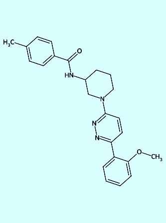 COc1ccccc1-c1ccc(N2CCCC(NC(=O)c3ccc(C)cc3)C2)nn1